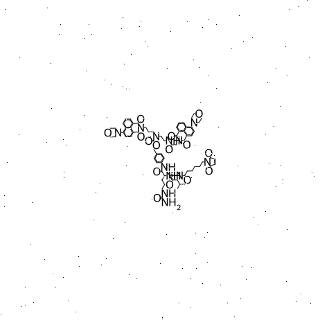 CC(C)C(NC(=O)CCCCCN1C(=O)C=CC1=O)C(=O)N[C@@H](CCCNC(N)=O)C(=O)Nc1ccc(COC(=O)N(CCCN2C(=O)c3cccc4c(N5CCOCC5)ccc(c34)C2=O)CCNC(=O)CN2C(=O)c3cccc4c(N5CCOCC5)ccc(c34)C2=O)cc1